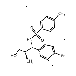 Cc1ccc(S(=O)(=O)N[C@H](c2ccc(Br)cc2)[C@@H](C)CO)cc1